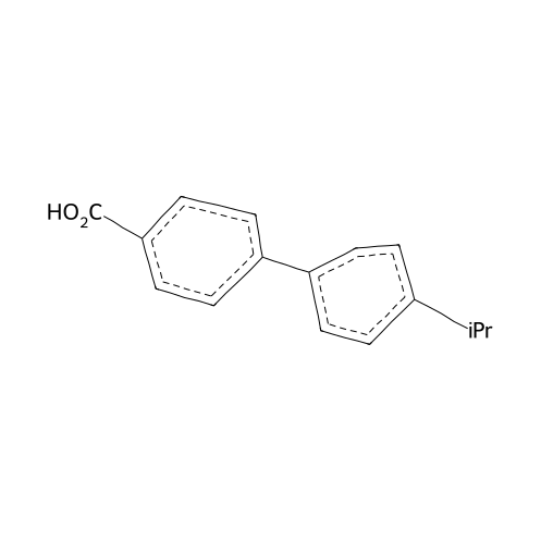 CC(C)c1ccc(-c2ccc(C(=O)O)cc2)cc1